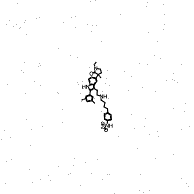 CCN1CCC(C)(c2ccc3[nH]c(-c4cc(C)cc(C)c4)c(CCNCCCCc4ccc(NS(C)(=O)=O)cc4)c3c2)C1=O